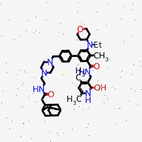 CCN(c1cc(-c2ccc(CN3CCN(CCNC(=O)CC4C5CC6CC(C5)CC4C6)CC3)cc2)cc(C(=O)NCC2=C(C)C=C(C)NC2O)c1C)C1CCOCC1